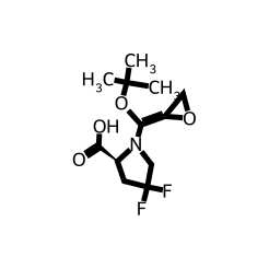 CC(C)(C)O/C(=C1\CO1)N1CC(F)(F)C[C@H]1C(=O)O